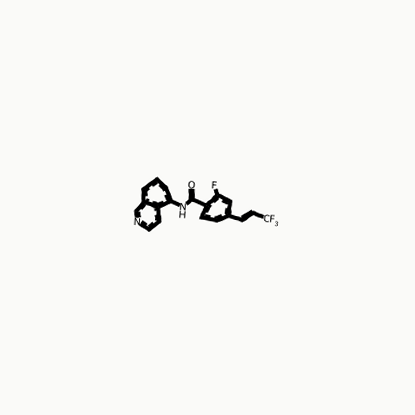 O=C(Nc1cccc2cnccc12)c1ccc(/C=C/C(F)(F)F)cc1F